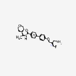 C[C@@H](NC(=O)C12CCC(c3ccc(OC/C(=C/F)CN)cc3)(CC1)CC2)C1CCOCC1